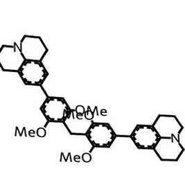 COc1cc(-c2cc3c4c(c2)CCCN4CCC3)cc(OC)c1Cc1c(OC)cc(-c2cc3c4c(c2)CCCN4CCC3)cc1OC